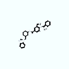 Cn1nc2ccccc2c1-n1ncc2cc(C(=O)NC3CCCC(Cn4cnc5ccccc54)C3)ccc21